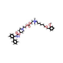 COc1ccccc1COCCCCCC[N+](C)(C)CCOC(=O)OCCN1CCC(OC(=O)Nc2ccccc2-c2ccccc2)CC1